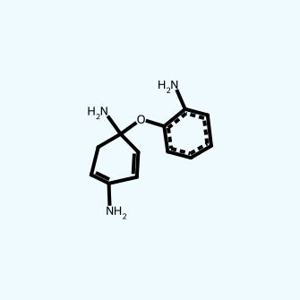 NC1=CCC(N)(Oc2ccccc2N)C=C1